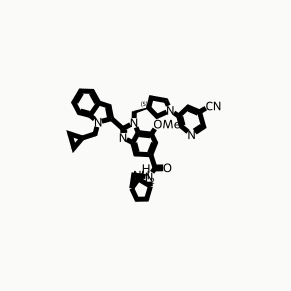 COc1cc(C(=O)N2CC3CCC2[C@@H]3N)cc2nc(-c3cc4ccccc4n3CC3CC3)n(C[C@H]3CCN(c4cncc(C#N)c4)C3)c12